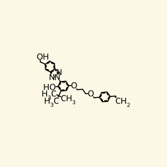 C=Cc1ccc(COCCCOc2cc(-n3nc4ccc(CO)cc4n3)c(O)c(C(C)(C)C)c2)cc1